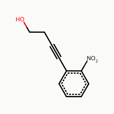 O=[N+]([O-])c1ccccc1C#CCCO